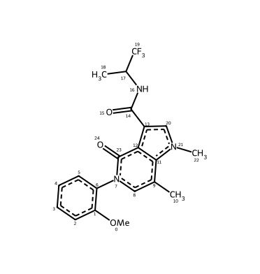 COc1ccccc1-n1cc(C)c2c(c(C(=O)NC(C)C(F)(F)F)cn2C)c1=O